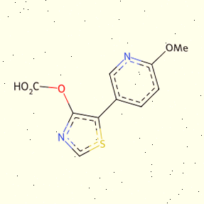 COc1ccc(-c2scnc2OC(=O)O)cn1